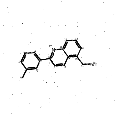 Cc1cccc(-c2ccc3c(CC(C)C)cccc3n2)c1